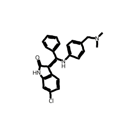 CN(C)Cc1ccc(NC(=C2C(=O)Nc3cc(Cl)ccc32)c2ccccc2)cc1